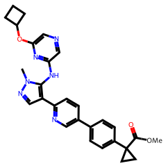 COC(=O)C1(c2ccc(-c3ccc(-c4cnn(C)c4Nc4cncc(OC5CCC5)n4)nc3)cc2)CC1